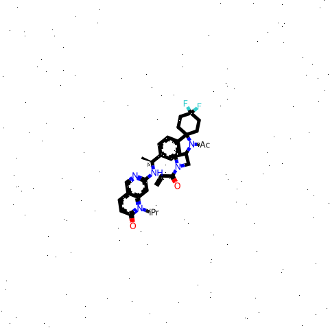 C=CC(=O)N1CC(N(C(C)=O)C2(c3ccc([C@H](C)Nc4cc5c(ccc(=O)n5C(C)C)cn4)cc3)CCC(F)(F)CC2)C1